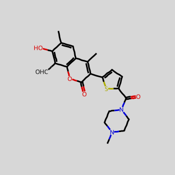 Cc1cc2c(C)c(-c3ccc(C(=O)N4CCN(C)CC4)s3)c(=O)oc2c(C=O)c1O